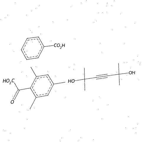 CC(C)(O)C#CC(C)(C)O.Cc1cc(C)c(C(=O)C(=O)O)c(C)c1.O=C(O)c1ccccc1